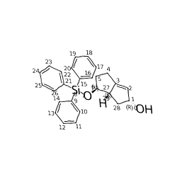 O[C@H]1C=C2CC[C@H](O[Si](c3ccccc3)(c3ccccc3)c3ccccc3)[C@H]2C1